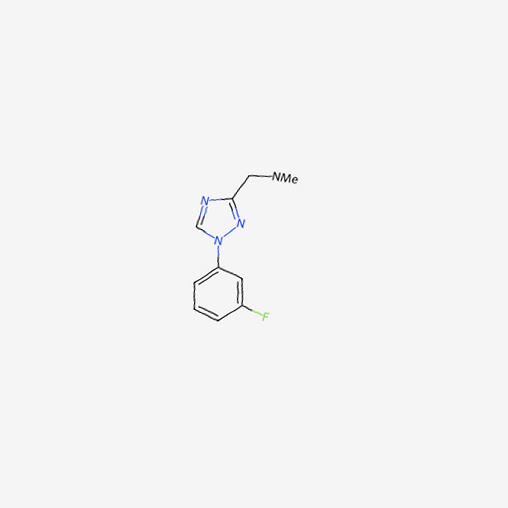 CNCc1ncn(-c2cccc(F)c2)n1